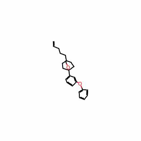 C=CCCCC12CCC(c3cccc(Oc4ccccc4)c3)(CC1)OC2